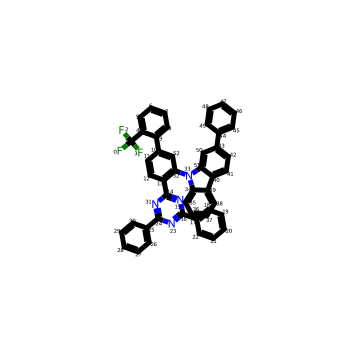 FC(F)(F)c1ccccc1-c1ccc(-c2nc(-c3ccccc3)nc(-c3ccccc3)n2)c(-n2c3ccccc3c3ccc(-c4ccccc4)cc32)c1